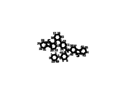 c1ccc(-c2cccc(N(c3ccc(-c4ccccc4-c4cccc5c4sc4ccccc45)cc3)c3ccc4c(c3)sc3ccccc34)c2)cc1